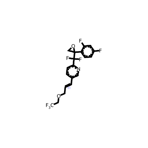 Fc1ccc(C2(C(F)(F)c3ccc(/C=C/COCC(F)(F)F)cn3)CO2)c(F)c1